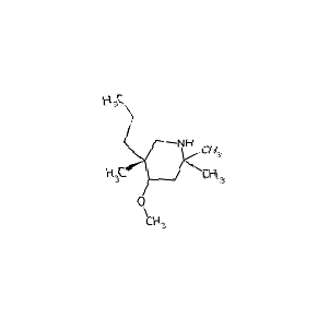 CCC[C@]1(C)CNC(C)(C)CC1OC